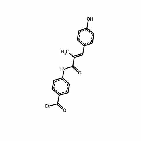 CCC(=O)c1ccc(NC(=O)/C(C)=C/c2ccc(O)cc2)cc1